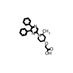 C[C@H]1C[C@H](OCC(=O)O)CCN1c1cnc(-c2ccccc2)c(-c2ccccc2)n1